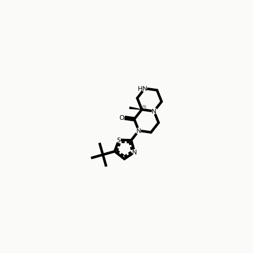 CC(C)(C)c1cnc(N2CCN3CCNC[C@@]3(C)C2=O)s1